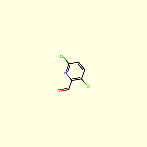 O=[C]c1nc(Cl)ccc1Cl